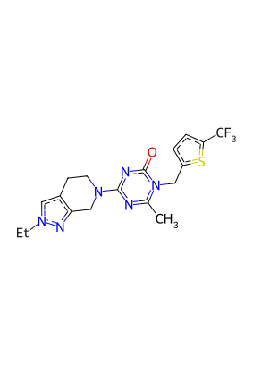 CCn1cc2c(n1)CN(c1nc(C)n(Cc3ccc(C(F)(F)F)s3)c(=O)n1)CC2